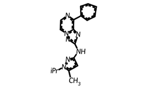 Cc1cc(Nc2nc3c(-c4ccccc4)nccn3n2)nn1C(C)C